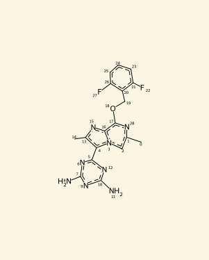 Cc1cn2c(-c3nc(N)nc(N)n3)c(C)nc2c(OCc2c(F)cccc2F)n1